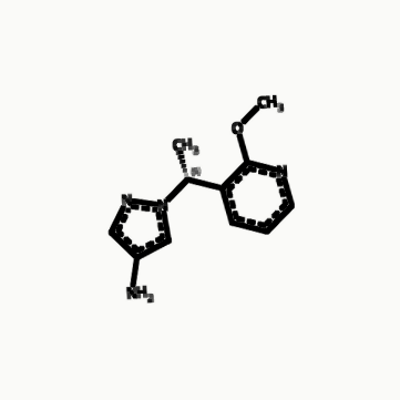 COc1ncccc1[C@@H](C)n1cc(N)cn1